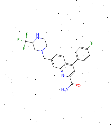 NC(=O)c1cc(-c2ccc(F)cc2)c2ccc(CN3CCNC(C(F)(F)F)C3)cc2n1